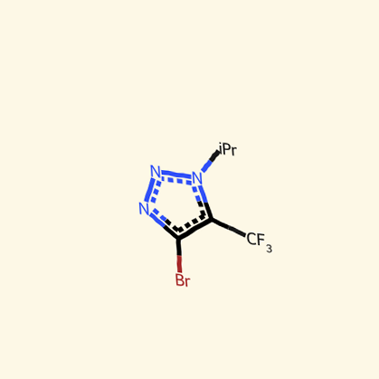 CC(C)n1nnc(Br)c1C(F)(F)F